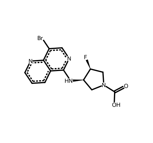 O=C(O)N1C[C@H](F)[C@H](Nc2ncc(Br)c3ncccc23)C1